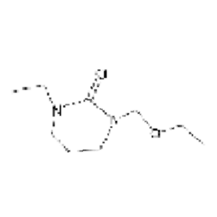 CCOCN1CCCN(CC)C1=O